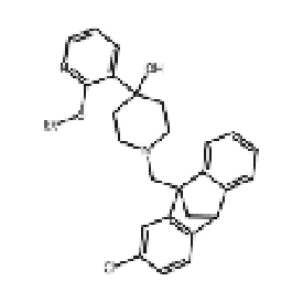 CCSc1ncccc1C1(O)CCN(CC23CC(c4ccccc42)c2ccc(Cl)cc23)CC1